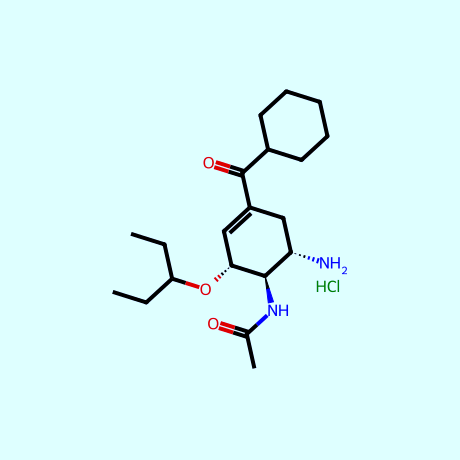 CCC(CC)O[C@@H]1C=C(C(=O)C2CCCCC2)C[C@H](N)[C@H]1NC(C)=O.Cl